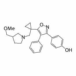 COCC1CCN(CC2(c3onc(-c4ccc(O)cc4)c3-c3ccccc3)CC2)C1